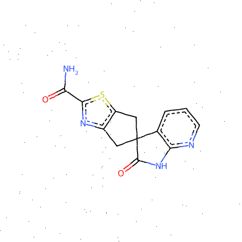 NC(=O)c1nc2c(s1)CC1(C2)C(=O)Nc2ncccc21